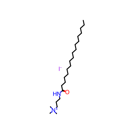 CCCCCCCCCCCCCCCCCC(=O)NCCC[N+](C)(C)C.[I-]